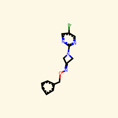 Brc1cnc(N2CC(=NOCc3ccccc3)C2)nc1